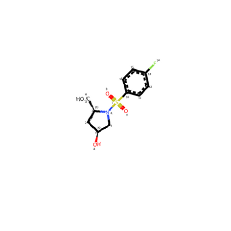 O=C(O)[C@@H]1C[C@H](O)CN1S(=O)(=O)c1ccc(F)cc1